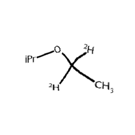 [2H]C([2H])(C)OC(C)C